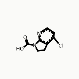 O=C(O)N1CCc2c(Cl)ccnc21